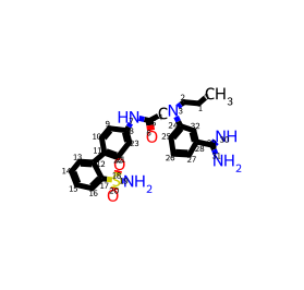 CCCN(CC(=O)Nc1ccc(-c2ccccc2S(N)(=O)=O)cc1)c1cccc(C(=N)N)c1